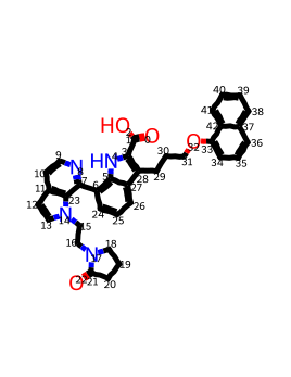 O=C(O)c1[nH]c2c(-c3nccc4ccn(CCN5CCCC5=O)c34)cccc2c1CCCOc1cccc2ccccc12